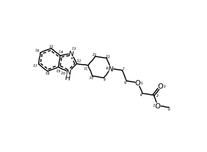 COC(=O)COCCN1CCC(c2nc3ccccc3[nH]2)CC1